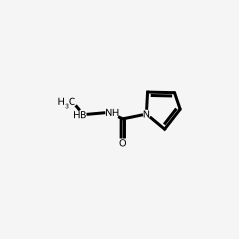 CBNC(=O)n1cccc1